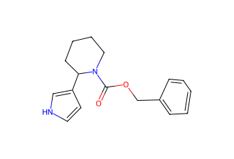 O=C(OCc1ccccc1)N1CCCCC1c1cc[nH]c1